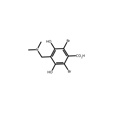 CN(C)Cc1c(O)c(Br)c(C(=O)O)c(Br)c1O